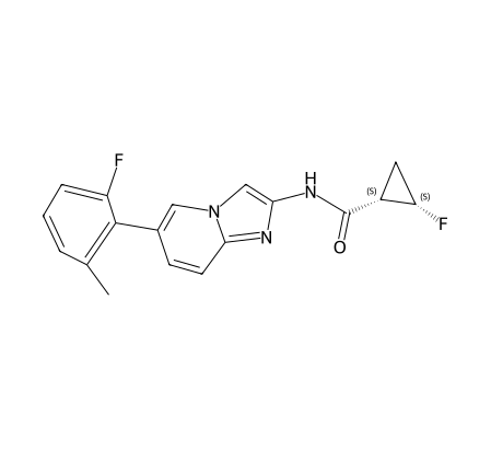 Cc1cccc(F)c1-c1ccc2nc(NC(=O)[C@@H]3C[C@@H]3F)cn2c1